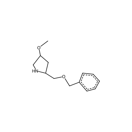 COC1CNC(COCc2ccccc2)C1